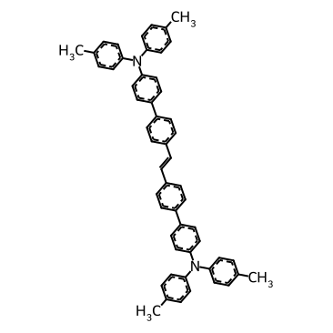 Cc1ccc(N(c2ccc(C)cc2)c2ccc(-c3ccc(/C=C/c4ccc(-c5ccc(N(c6ccc(C)cc6)c6ccc(C)cc6)cc5)cc4)cc3)cc2)cc1